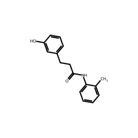 Cc1ccccc1NC(=O)CCc1cccc(O)c1